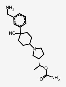 CC(OC(N)=O)[C@H]1CCN(C2CCC(C#N)(c3cccc(CN)c3)CC2)C1